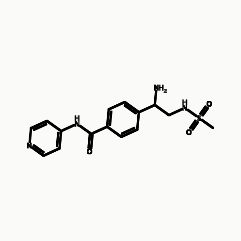 CS(=O)(=O)NCC(N)c1ccc(C(=O)Nc2ccncc2)cc1